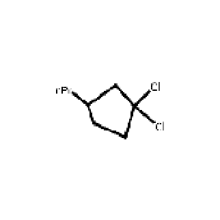 [CH2]CCC1CCC(Cl)(Cl)C1